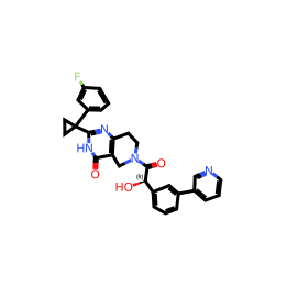 O=C([C@H](O)c1cccc(-c2cccnc2)c1)N1CCc2nc(C3(c4cccc(F)c4)CC3)[nH]c(=O)c2C1